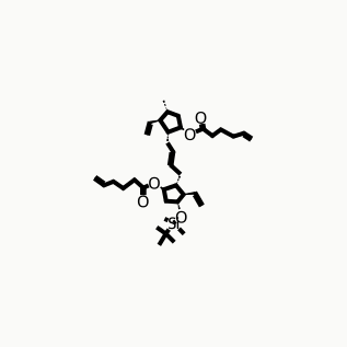 C=CCCCC(=O)O[C@H]1C[C@@H](C)[C@H](C=C)[C@H]1C/C=C/C[C@@H]1[C@@H](C=C)[C@H](O[Si](C)(C)C(C)(C)C)C[C@@H]1OC(=O)CCCC=C